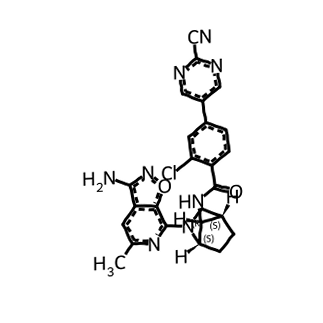 Cc1cc2c(N)noc2c(N2C[C@@H]3CC[C@H]2[C@@H]3NC(=O)c2ccc(-c3cnc(C#N)nc3)cc2Cl)n1